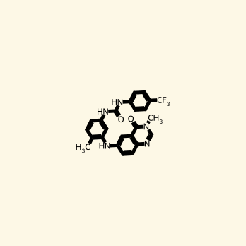 Cc1ccc(NC(=O)Nc2ccc(C(F)(F)F)cc2)cc1Nc1ccc2ncn(C)c(=O)c2c1